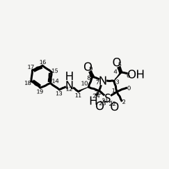 CC1(C)[C@H](C(=O)O)N2C(=O)[C@H](CNCc3ccccc3)[C@H]2S1(=O)=O